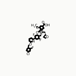 COc1cc(C(=O)O)cc2c1c(=O)n(Cc1cc(F)c(-c3cccc(OCc4ccc(Cl)cc4F)n3)cc1F)n2C[C@@H]1CCO1